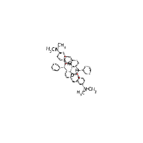 CN(C)c1ccc([PH](=O)C(c2ccccc2)c2ccc3ccccc3c2-c2c(C(c3ccccc3)[PH](=O)c3ccc(N(C)C)cc3)ccc3ccccc23)cc1